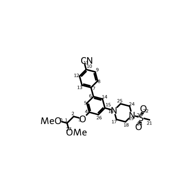 COC(COc1cc(-c2ccc(C#N)cc2)cc(N2CCN(S(C)(=O)=O)CC2)c1)OC